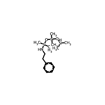 C[SiH](C)O[Si](C)(C)O[Si](C)(C)NCCc1ccccc1